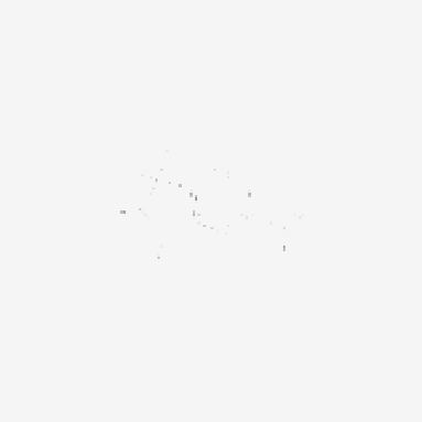 CC1=[N+]([O-])c2cc([N+](=O)[O-])ccc2C1(C)C